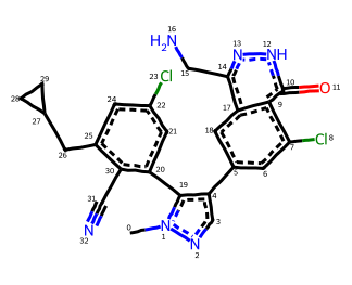 Cn1ncc(-c2cc(Cl)c3c(=O)[nH]nc(CN)c3c2)c1-c1cc(Cl)cc(CC2CC2)c1C#N